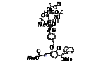 CCOC(C)O[C@@H]1[C@H]2OC(C)(C)O[C@H]2[C@@H](OP(=O)(OC)Oc2ccc(COc3c(/C=C/C(=O)OC)ccc(C(OC)=C4C5CC6CC(C5)CC4C6)c3Cl)cc2)[C@@H]2OC(C)(C)O[C@@H]12